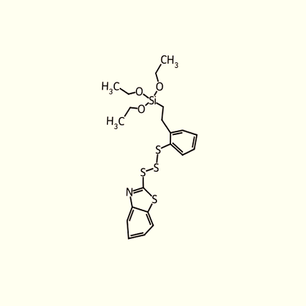 CCO[Si](CCc1ccccc1SSSc1nc2ccccc2s1)(OCC)OCC